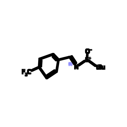 [CH2]C(C)(C)[S+]([O-])/N=C/c1ccc(C(F)(F)F)cc1